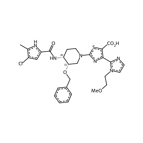 COCCn1ccnc1-c1nc(N2CC[C@@H](NC(=O)c3cc(Cl)c(C)[nH]3)[C@@H](OCc3ccccc3)C2)sc1C(=O)O